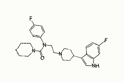 O=C(N1CCCCC1)N(CCN1CCC(c2c[nH]c3cc(F)ccc23)CC1)c1ccc(F)cc1